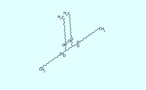 CCCCCCCCCCCCCCCOC(=O)CCC(CCCC(CCC(=O)OCCCCCCCCCCCCCCC)CCC(=O)OCCCCCCCCCCCCCCC)CCC(=O)OCCCCCCCCCCCCCCC